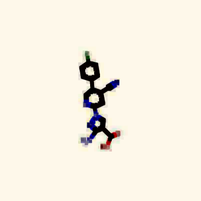 N#Cc1cc(-n2cc(C(=O)O)c(N)n2)ncc1-c1ccc(F)cc1